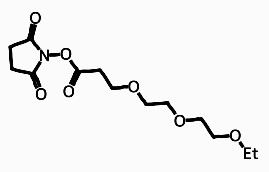 CCOCCOCCOCCC(=O)ON1C(=O)CCC1=O